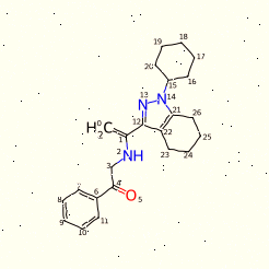 C=C(NCC(=O)c1ccccc1)c1nn(C2CCCCC2)c2c1CCCC2